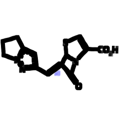 O=C(O)C1=CSC2/C(=C\c3cc4n(n3)CCC4)C(=O)N12